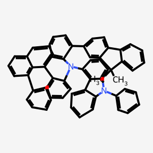 CC1(C)c2ccccc2-c2ccc(-c3ccccc3N(c3ccccc3-c3cccc4cccc(-c5ccccc5)c34)c3cccc4c3c3ccccc3n4-c3ccccc3)cc21